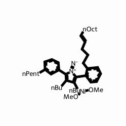 CCCCCCCCC=CCCCc1ccccc1C1=C(CCCC)C(CCCC)=C(c2cccc(CCCCC)c2)[N+]1=[N-].C[O][Ni][O]C